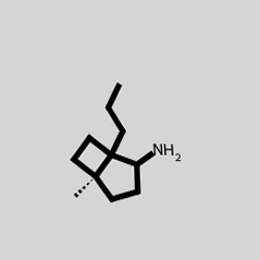 CCCC12CC[C@]1(C)CCC2N